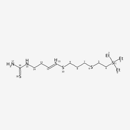 CC[Si](CC)(CC)CCSCCCS[SH]=CCCNC(N)=S